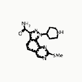 CSc1ncc2ccc3c(C(N)=O)nn(C4CCNCC4)c3c2n1